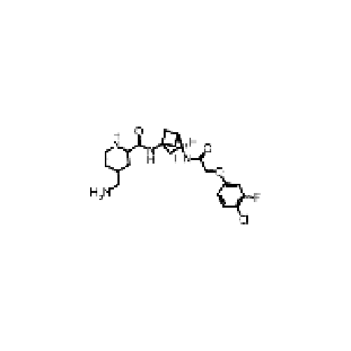 NCC1CCNC(C(=O)NC23CC(C2)[C@@H](NC(=O)COc2ccc(Cl)c(F)c2)C3)C1